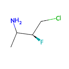 CC(N)[C@H](F)CCl